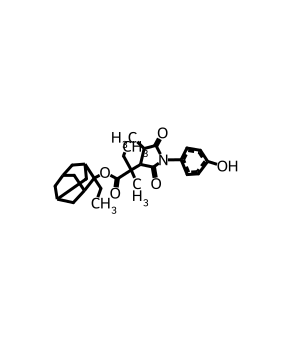 CCC(C)(C(=O)OC1(CC)C2CC3CC(C2)CC1C3)C1C(=O)N(c2ccc(O)cc2)C(=O)C1C